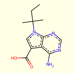 CCC(C)(C)n1cc(C(=O)O)c2c(N)ncnc21